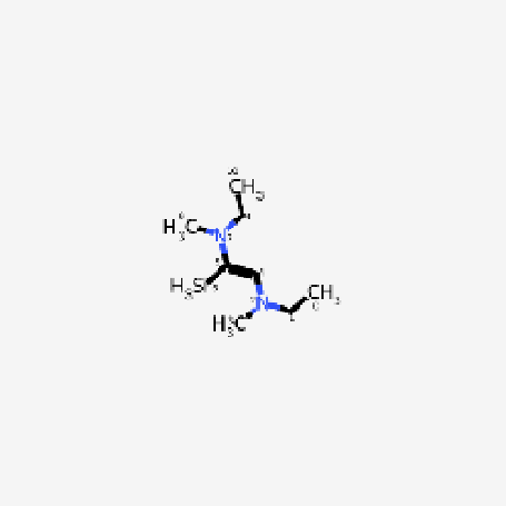 CCN(C)C=C([SiH3])N(C)CC